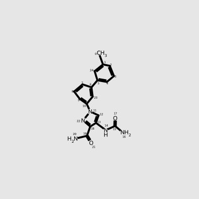 Cc1cccc(-c2cccc(-n3cc(NC(N)=O)c(C(N)=O)n3)c2)c1